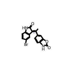 C/C(=C1\C(=O)Nc2ccc(Br)cc21)c1ccc2[nH]c(=O)oc2c1